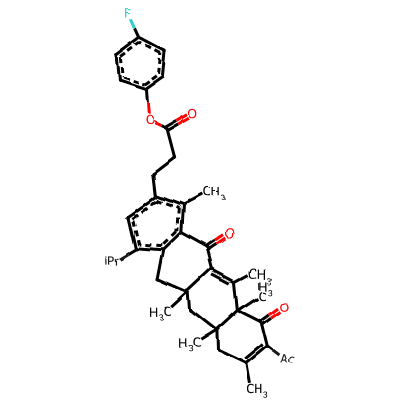 CC(=O)C1=C(C)CC2(C)CC3(C)Cc4c(C(C)C)cc(CCC(=O)Oc5ccc(F)cc5)c(C)c4C(=O)C3=C(C)C2(C)C1=O